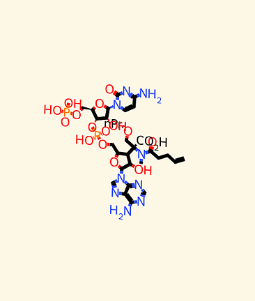 C=CCCC(=O)N(C)[C@](COCCC)(C(=O)O)C1C(COP(=O)(O)O[C@H]2[C@@H](O)[C@H](n3ccc(N)nc3=O)O[C@@H]2COP(=O)(O)O)OC(n2cnc3c(N)ncnc32)C1O